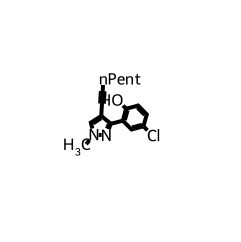 CCCCCC#Cc1cn(C)nc1-c1cc(Cl)ccc1O